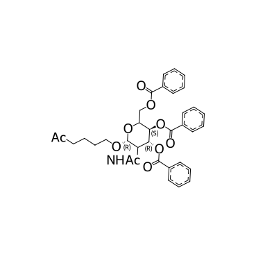 CC(=O)CCCCO[C@@H]1OC(COC(=O)c2ccccc2)[C@@H](OC(=O)c2ccccc2)[C@H](OC(=O)c2ccccc2)C1NC(C)=O